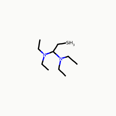 CCN(CC)C(C[SiH3])N(CC)CC